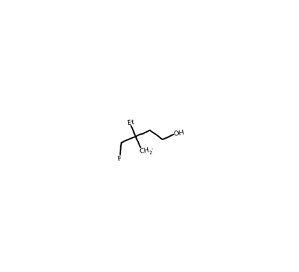 [CH2]C(CC)(CF)CCO